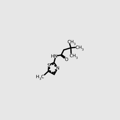 Cc1cnc(NC(=O)CC(C)(C)C)s1